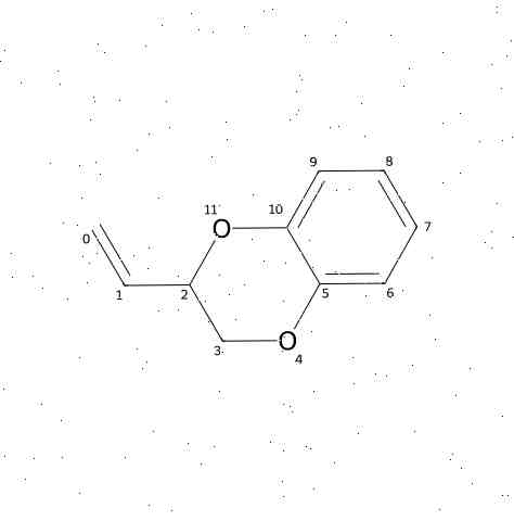 C=CC1COc2ccccc2O1